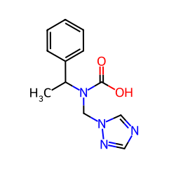 CC(c1ccccc1)N(Cn1cncn1)C(=O)O